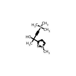 Cn1ccc(C(C)(O)C#C[Si](C)(C)C)n1